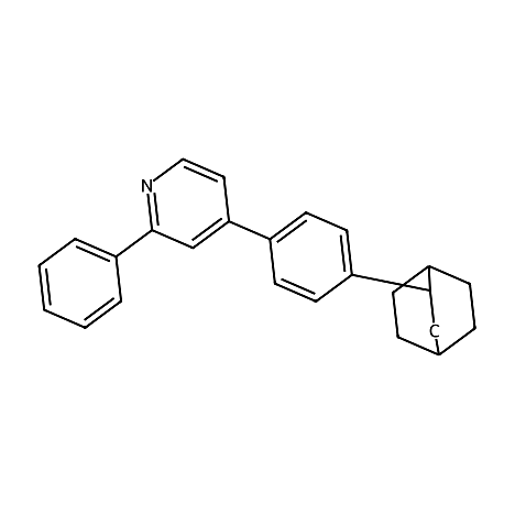 c1ccc(-c2cc(-c3ccc(C4CC5CCC4CC5)cc3)ccn2)cc1